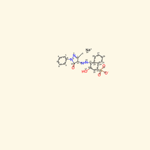 CC1=NN(c2ccccc2)C(=O)C1N=Nc1c(O)cc(S(=O)(=O)[O-])c2ccccc12.[Na+]